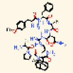 CCOc1ccc(C[C@H](N)C(=O)N[C@@H](Cc2ccccc2)C(=O)N[C@H](C(=O)N[C@@H](CC(N)=O)C(=O)NC(=N)NCCC[C@@](C(N)=O)(N(C(C)=O)C(=O)[C@@H]2CCCN2C(=O)C(N)CC)C23CC4CC(CC(C4)C2)C3)C(C)C)cc1